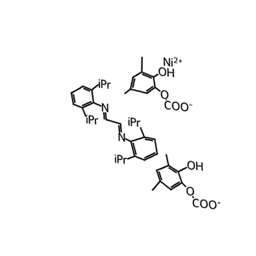 CC(C)c1cccc(C(C)C)c1N=CC=Nc1c(C(C)C)cccc1C(C)C.Cc1cc(C)c(O)c(OC(=O)[O-])c1.Cc1cc(C)c(O)c(OC(=O)[O-])c1.[Ni+2]